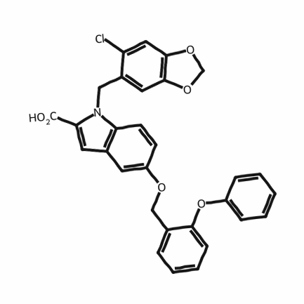 O=C(O)c1cc2cc(OCc3ccccc3Oc3ccccc3)ccc2n1Cc1cc2c(cc1Cl)OCO2